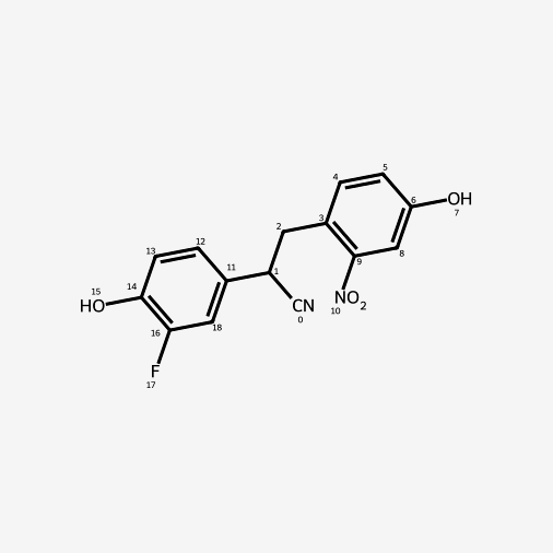 N#CC(Cc1ccc(O)cc1[N+](=O)[O-])c1ccc(O)c(F)c1